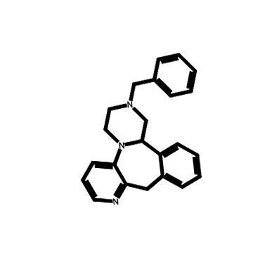 c1ccc(CN2CCN3c4cccnc4Cc4ccccc4C3C2)cc1